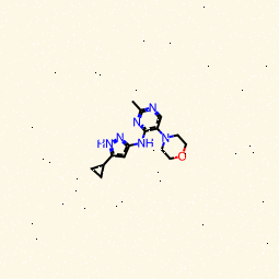 Cc1ncc(N2CCOCC2)c(Nc2cc(C3CC3)[nH]n2)n1